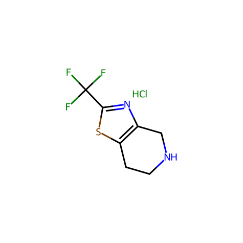 Cl.FC(F)(F)c1nc2c(s1)CCNC2